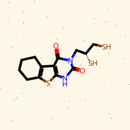 O=c1[nH]c2sc3c(c2c(=O)n1C[C@@H](S)CS)CCCC3